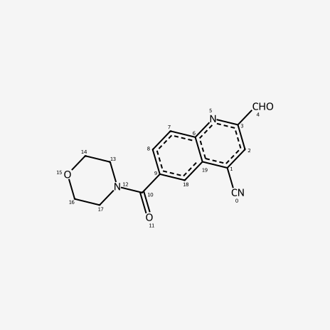 N#Cc1cc(C=O)nc2ccc(C(=O)N3CCOCC3)cc12